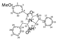 COc1ccc(C(=O)C[N+]23CSC(c4ccccc4)C2C[NH+]([O-])C3Cc2ccccc2)cc1